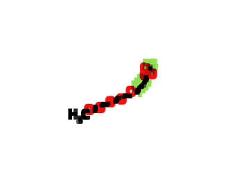 COCCOCCOCCOCCOCC(F)(F)C(F)(F)C(F)(F)COS(=O)(=O)C(F)(F)F